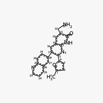 Cc1ccc(-c2nc3[nH]c(=O)c(CN)cc3cc2-c2ccc3ncccc3c2)o1